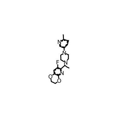 Cc1ccc(N2CCN(C(C)c3nc4c(cc3F)OCCO4)CC2)cn1